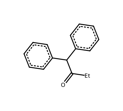 CCC(=O)C(c1ccccc1)c1ccccc1